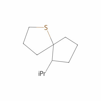 CC(C)C1CCCC12CCCS2